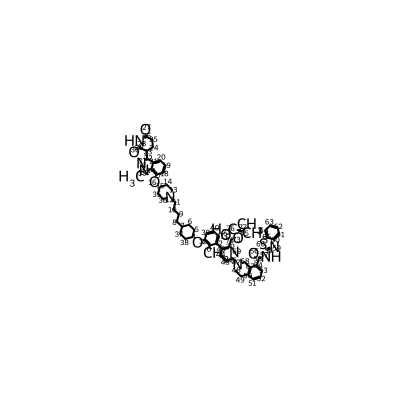 Cc1c(OC2CCC(CCCCN3CCC(Oc4cccc5c(C6CCC(=O)NC6=O)nn(C)c45)CC3)CC2)cccc1-c1ccc(N2CCc3cccc(C(=O)Nc4nc5ccccc5s4)c3C2)nc1C(=O)OC(C)(C)C